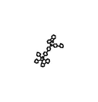 c1ccc(-c2ccc(N(c3ccc(-c4ccc(-n5c(-c6ccccc6)c(-c6ccccc6)c6c7ccccc7c7ccccc7c65)cc4)cc3)c3cccc4c3sc3ccccc34)cc2)cc1